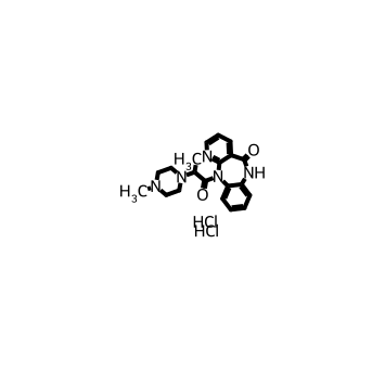 CC(C(=O)N1c2ccccc2NC(=O)c2cccnc21)N1CCN(C)CC1.Cl.Cl